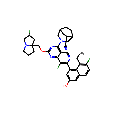 CCc1c(F)ccc2cc(O)cc(-c3ncc4c(N5CC6CCC(C5)C(C#N)C6)nc(OC[C@@]56CCCN5C[C@H](F)C6)nc4c3F)c12